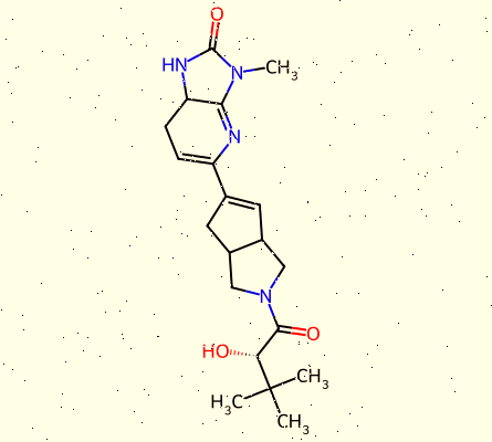 CN1C(=O)NC2CC=C(C3=CC4CN(C(=O)[C@@H](O)C(C)(C)C)CC4C3)N=C21